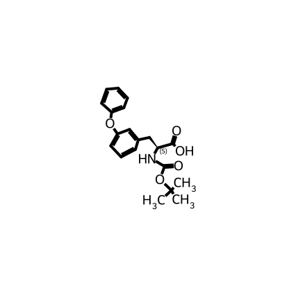 CC(C)(C)OC(=O)N[C@@H](Cc1cccc(Oc2ccccc2)c1)C(=O)O